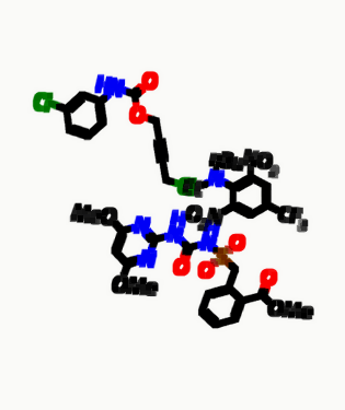 CCCCN(CC)c1c([N+](=O)[O-])cc(C(F)(F)F)cc1[N+](=O)[O-].COC(=O)c1ccccc1CS(=O)(=O)NC(=O)Nc1nc(OC)cc(OC)n1.O=C(Nc1cccc(Cl)c1)OCC#CCCl